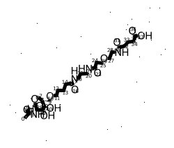 CC(=O)N[C@H]1[C@H]2OC[C@](COCCCCC(=O)NCCCNC(=O)CCOCCNC(=O)CCCC(=O)O)(O2)[C@H](O)[C@@H]1O